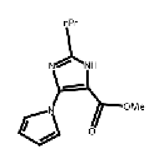 CCCc1nc(-n2cccc2)c(C(=O)OC)[nH]1